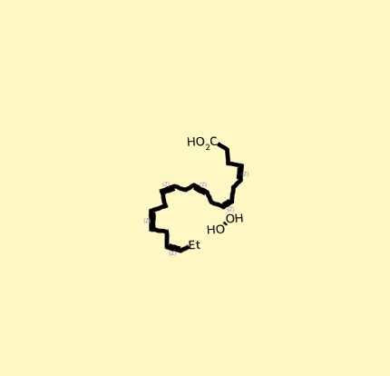 CC/C=C\C/C=C\C/C=C\C/C=C\C/C=C\C/C=C\CCC(=O)O.OO